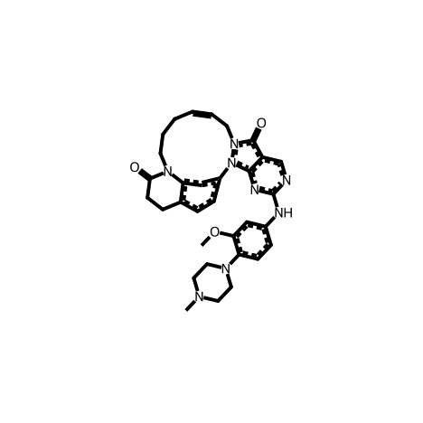 COc1cc(Nc2ncc3c(=O)n4n(c3n2)-c2ccc3c(c2)N(CCC/C=C\C4)C(=O)CC3)ccc1N1CCN(C)CC1